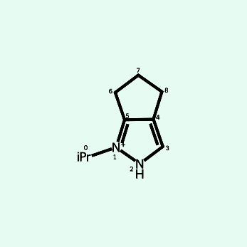 CC(C)[n+]1[nH]cc2c1CCC2